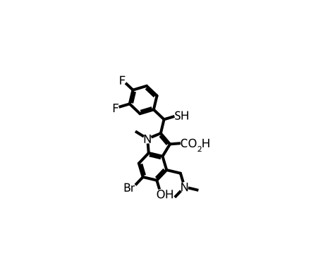 CN(C)Cc1c(O)c(Br)cc2c1c(C(=O)O)c(C(S)c1ccc(F)c(F)c1)n2C